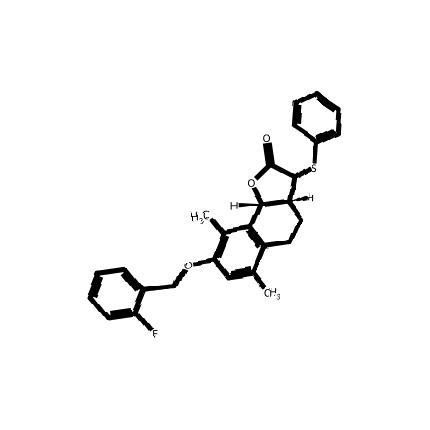 Cc1cc(OCc2ccccc2F)c(C)c2c1CC[C@H]1C(Sc3ccccc3)C(=O)O[C@@H]21